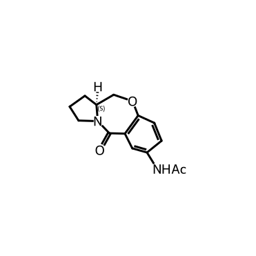 CC(=O)Nc1ccc2c(c1)C(=O)N1CCC[C@H]1CO2